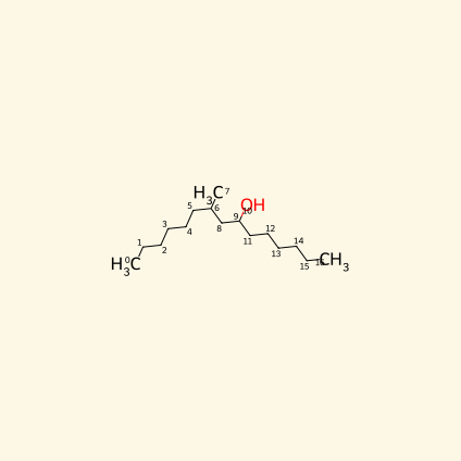 CCCCCCC(C)CC(O)CCCCCC